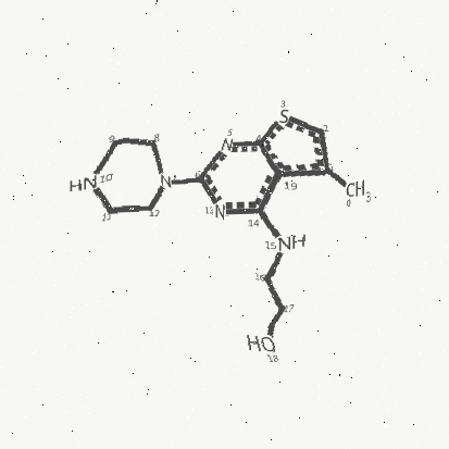 Cc1csc2nc(N3CCNCC3)nc(NCCO)c12